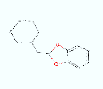 [c]1ccc2c(c1)OC(CC1CCCCC1)O2